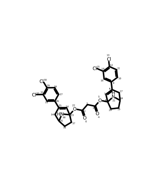 O=C(CC(=O)OC12C=C(c3ccc(Cl)c(Cl)c3)CC(CC1)N2)OC12C=C(c3ccc(Cl)c(Cl)c3)CC(CC1)N2